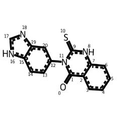 O=c1c2ccccc2[nH]c(=S)n1-c1ccc2[nH]cnc2c1